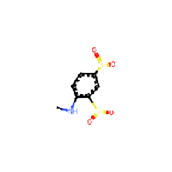 CNc1ccc([SH](=O)=O)cc1[SH](=O)=O